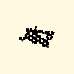 Cc1nn(-c2nc3c(c(=O)n2-c2cc4ncn(C)c4cc2F)CC(C)N(C(=O)c2ccc(Br)c(C(F)(F)F)c2)C3)c(C)c1F